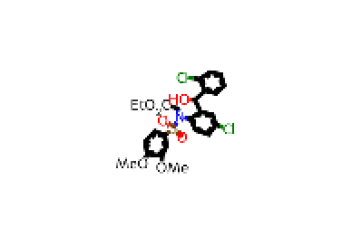 CCOC(=O)CN(c1ccc(Cl)cc1C(O)c1ccccc1Cl)S(=O)(=O)c1ccc(OC)c(OC)c1